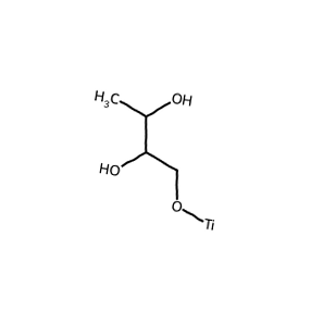 CC(O)C(O)C[O][Ti]